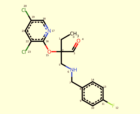 CCC(C=O)(CNCc1ccc(F)cc1)Oc1ncc(Cl)cc1Cl